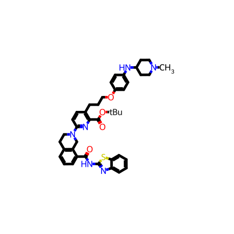 CN1CCC(Nc2ccc(OCCCc3ccc(N4CCc5cccc(C(=O)Nc6nc7ccccc7s6)c5C4)nc3C(=O)OC(C)(C)C)cc2)CC1